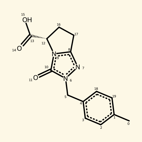 Cc1ccc(Cn2nc3n(c2=O)[C@H](C(=O)O)CC3)cc1